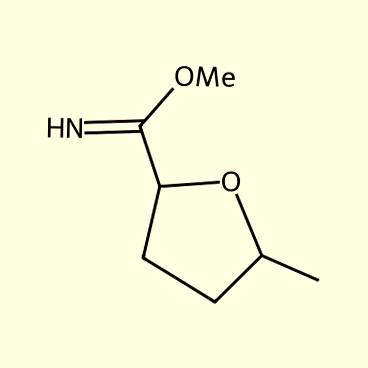 COC(=N)C1CCC(C)O1